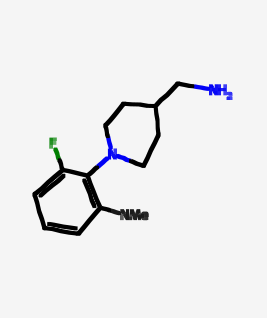 CNc1cccc(F)c1N1CCC(CN)CC1